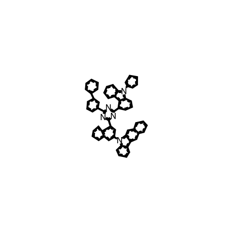 c1ccc(-c2cccc(-c3nc(-c4cc(-n5c6ccccc6c6cc7ccccc7cc65)cc5ccccc45)nc(-c4cccc5c4c4ccccc4n5-c4ccccc4)n3)c2)cc1